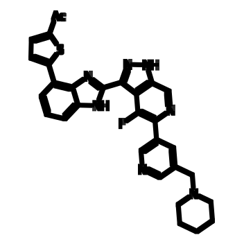 CC(=O)c1ccc(-c2cccc3[nH]c(-c4n[nH]c5cnc(-c6cncc(CN7CCCCC7)c6)c(F)c45)nc23)s1